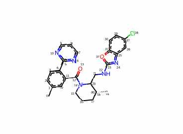 Cc1ccc(-c2ncccn2)c(C(=O)N2CCC[C@@H](C)C2CNc2nc3cc(Cl)ccc3o2)c1